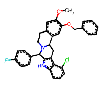 COc1cc2c(cc1OCc1ccccc1)C1Cc3c([nH]c4cccc(Cl)c34)C(c3ccc(F)cc3)N1CC2